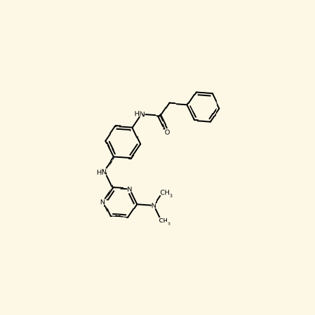 CN(C)c1ccnc(Nc2ccc(NC(=O)Cc3ccccc3)cc2)n1